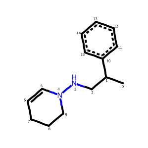 CC(CNN1C=CCCC1)c1ccccc1